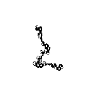 O=C(CCCC(=O)OCN1C(=O)CCc2ccc(OCCCCN3CCN(c4cccc5sccc45)CC3)cc21)OCN1C(=O)CCc2ccc(OCCCCN3CCN(c4cccc5sccc45)CC3)cc21